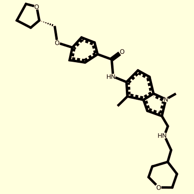 Cc1c(NC(=O)c2ccc(OC[C@@H]3CCCO3)cc2)ccc2c1cc(CNCC1CCOCC1)n2C